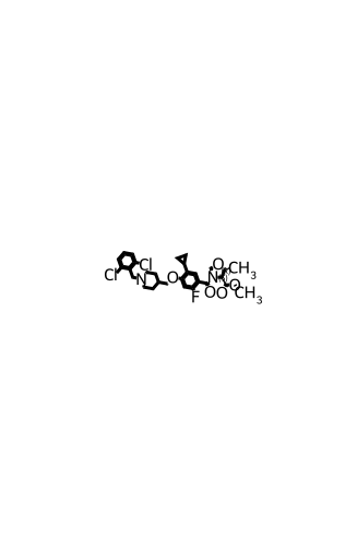 COC(=O)[C@@H]1[C@@H](C)OCN1C(=O)c1cc(C2CC2)c(OCC2CCN(Cc3c(Cl)cccc3Cl)CC2)cc1F